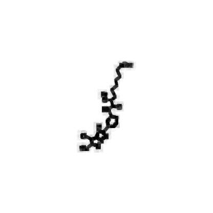 CCCCCCCCCCCCCCCCC(OCC)C(=O)Nc1cccc(-c2nn3nc(C(C)(C)C)c(Cl)c3[nH]2)c1